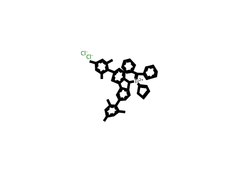 Cc1cc(C)c(-c2ccc3c(c2)-c2cc(-c4c(C)cc(C)cc4C)ccc2[CH]3[Ti+2]([C]2=CC=CC2)=[C](c2ccccc2)c2ccccc2)c(C)c1.[Cl-].[Cl-]